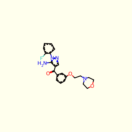 Nc1c(C(=O)c2cccc(OCCN3CCOCC3)c2)cnn1-c1ccccc1F